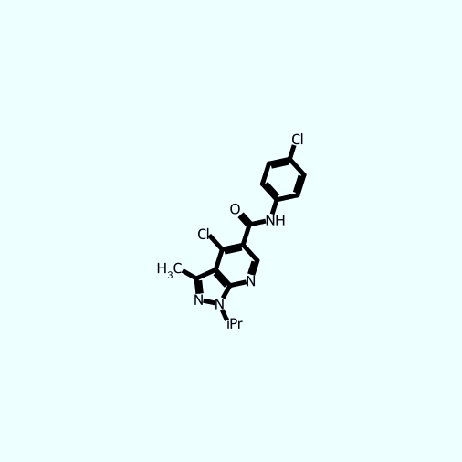 Cc1nn(C(C)C)c2ncc(C(=O)Nc3ccc(Cl)cc3)c(Cl)c12